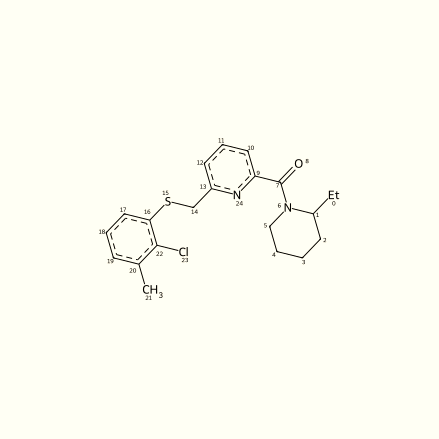 CCC1CCCCN1C(=O)c1cccc(CSc2cccc(C)c2Cl)n1